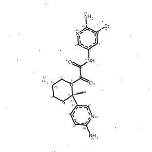 CCc1cc(NC(=O)C(=O)N2C[C@@H](C)CC[C@@]2(C)c2ccc(N)nc2)cnc1N